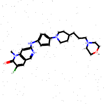 Cn1c(=O)c(F)cc2cnc(Nc3ccc(N4CCC(CCCN5CCOCC5)CC4)cc3)cc21